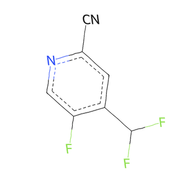 N#Cc1cc(C(F)F)c(F)cn1